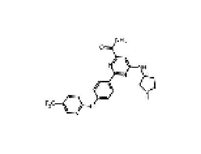 NC(=O)c1cc(N[C@H]2CCNC2)nc(-c2ccc(Oc3ccc(C(F)(F)F)cn3)cc2)n1